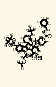 CO[C@@H](C)c1ncc(N2CCN(C(=O)OCc3ccccc3)CC2)cc1-c1c(C2(C(=O)O)CCCN(CC(C)(C)C)N2)c2cc(B3OC(C)(C)C(C)(C)O3)ccc2n1CCOC(C)C.Cl.Cl